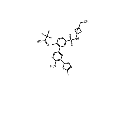 Cc1ncc(-c2nc(-c3cc(S(=O)(=O)NC45CC(CO)(C4)C5)ccc3C)cnc2N)s1.O=C(O)C(F)(F)F